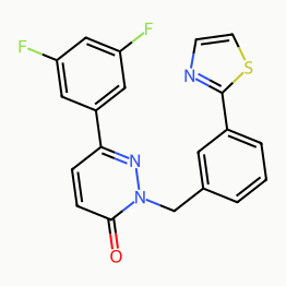 O=c1ccc(-c2cc(F)cc(F)c2)nn1Cc1cccc(-c2nccs2)c1